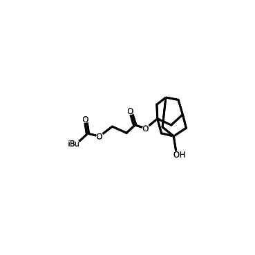 CCC(C)C(=O)OCCC(=O)OC12CC3CC(CC(O)(C3)C1)C2